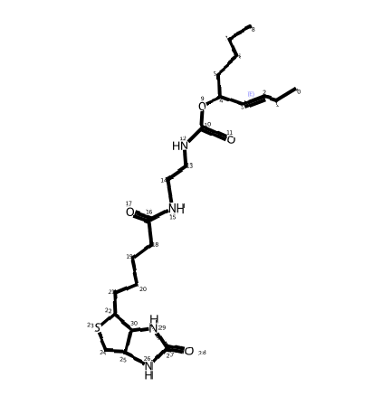 CC/C=C/C(CCCC)OC(=O)NCCNC(=O)CCCCC1SCC2NC(=O)NC21